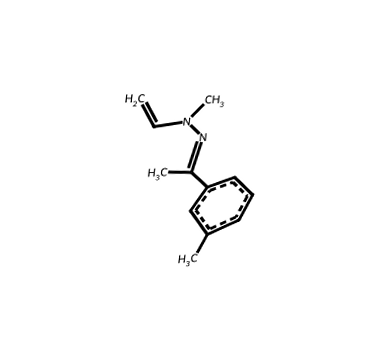 C=CN(C)/N=C(\C)c1cccc(C)c1